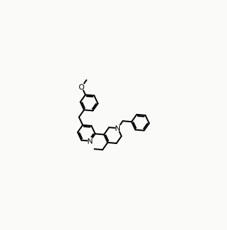 CCC1=C(c2cc(Cc3cccc(OC)c3)ccn2)CN(Cc2ccccc2)CC1